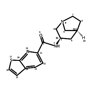 O=C(N[C@@H]1C[C@@H]2CCN(C2)C1)c1ccc2ccsc2n1